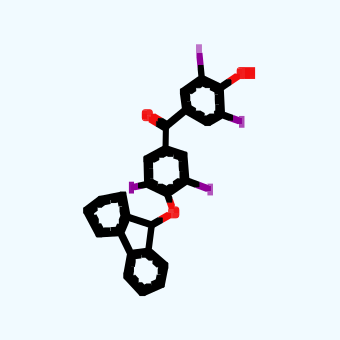 O=C(c1cc(I)c(O)c(I)c1)c1cc(I)c(OC2c3ccccc3-c3ccccc32)c(I)c1